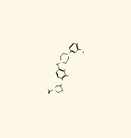 COc1cc(N2CCN(C(C)c3ccc(OC4CCN(C(C)=O)C4)c(C)c3C)CC2)ccc1Cl